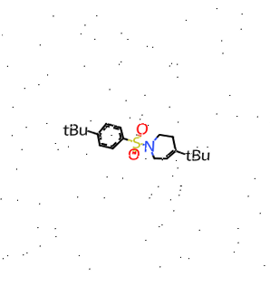 CC(C)(C)C1=CCN(S(=O)(=O)c2ccc(C(C)(C)C)cc2)CC1